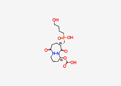 O=C(O)O[C@H]1CCCN2C(=O)CC[C@H](CP(=O)(O)CCCCO)C(=O)N12